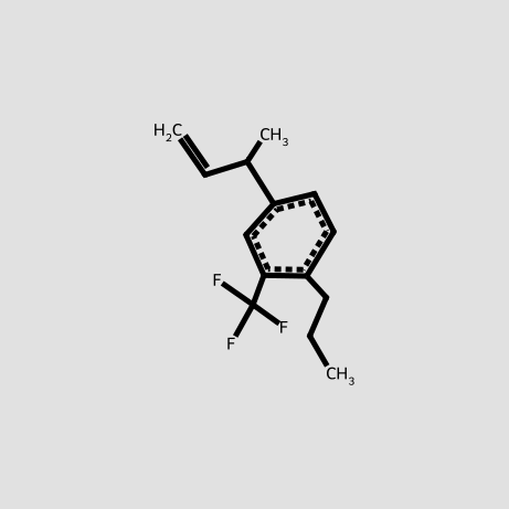 C=C[C](C)c1ccc(CCC)c(C(F)(F)F)c1